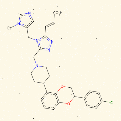 CCn1cncc1Cn1c(/C=C/C(=O)O)nnc1CN1CCC(c2cccc3c2OCC(c2ccc(Cl)cc2)O3)CC1